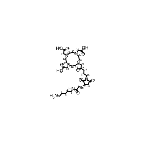 NCCCCCNC(=O)CSC1CC(=O)N(CCCC(=O)CN2CCN(CC(=O)O)CCN(CC(=O)O)CCN(CC(=O)O)CC2)C1=O